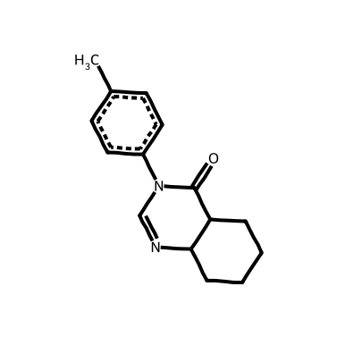 Cc1ccc(N2C=NC3CCCCC3C2=O)cc1